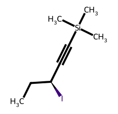 CC[C@H](I)C#C[Si](C)(C)C